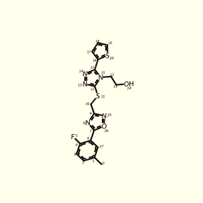 Cc1ccc(F)c(-c2nc(CSc3nnc(-c4cccs4)n3CCO)no2)c1